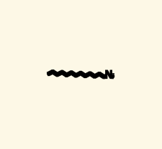 CCCCCCCCCCCCC[N]C